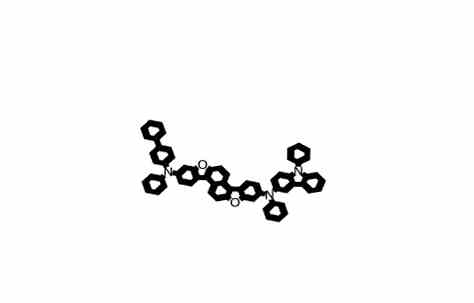 c1ccc(-c2ccc(N(c3ccccc3)c3ccc4c(c3)oc3ccc5c(ccc6oc7cc(N(c8ccccc8)c8ccc9c(c8)c8ccccc8n9-c8ccccc8)ccc7c65)c34)cc2)cc1